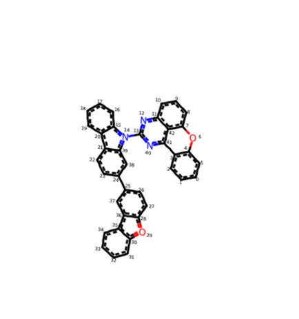 c1ccc2c(c1)Oc1cccc3nc(-n4c5ccccc5c5ccc(-c6ccc7oc8ccccc8c7c6)cc54)nc-2c13